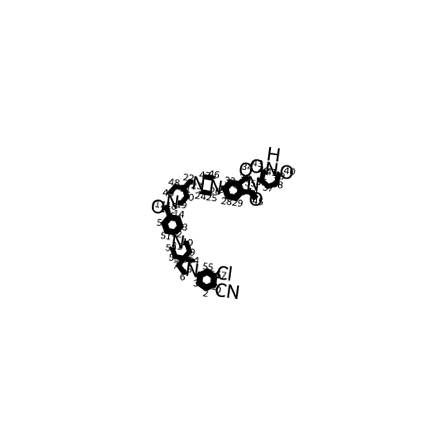 N#Cc1ccc(N2CCC3(CCN(c4ccc(C(=O)N5CCC(CN6CCN(c7ccc8c(c7)C(=O)N(C7CCC(=O)NC7=O)C8=O)CC6)CC5)cc4)CC3)C2)cc1Cl